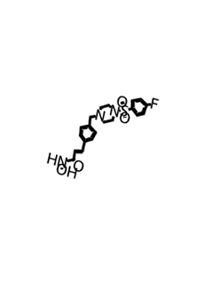 O=C(C=Cc1ccc(CN2CCN(S(=O)(=O)c3ccc(F)cc3)CC2)cc1)NO